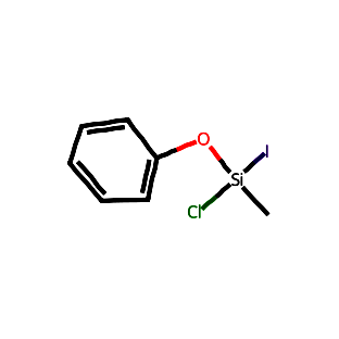 C[Si](Cl)(I)Oc1ccccc1